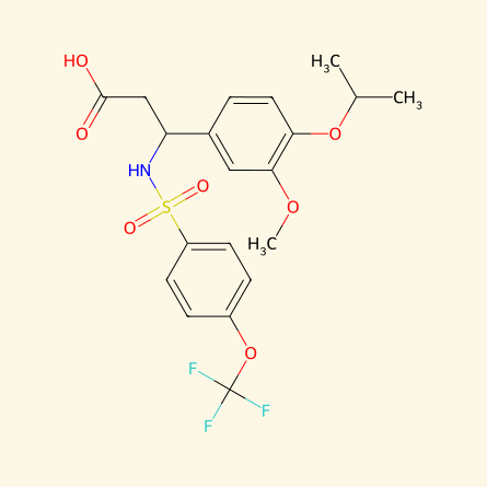 COc1cc(C(CC(=O)O)NS(=O)(=O)c2ccc(OC(F)(F)F)cc2)ccc1OC(C)C